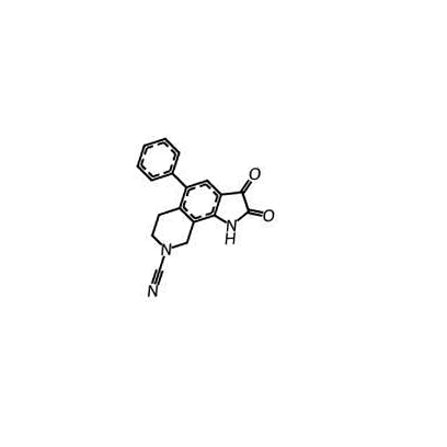 N#CN1CCc2c(-c3ccccc3)cc3c(c2C1)NC(=O)C3=O